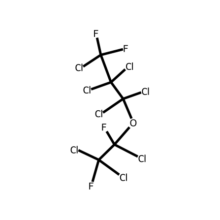 FC(F)(Cl)C(Cl)(Cl)C(Cl)(Cl)OC(F)(Cl)C(F)(Cl)Cl